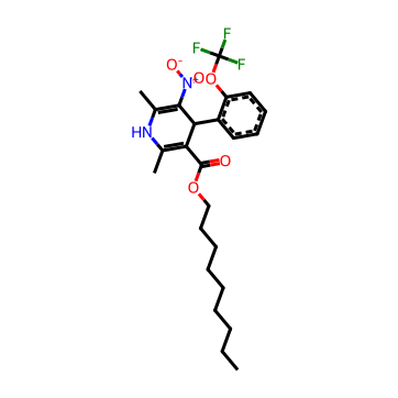 CCCCCCCCCOC(=O)C1=C(C)NC(C)=C([N+](=O)[O-])C1c1ccccc1OC(F)(F)F